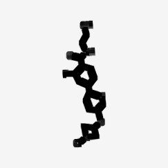 O=C(NCCO)c1ccc(-c2ccc(OC3CN(Cl)C3)cn2)cc1F